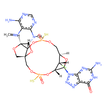 C=Nc1c(N)ncnc1N(C)[C@@H]1O[C@@]23CO[C@@H]1[C@@H]2OP(=O)(S)OC[C@H]1O[C@@H](n2nnc4c(=O)[nH]c(N)nc42)[C@H](OP(=O)(S)OC3)[C@H]1F